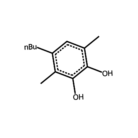 CCCCc1cc(C)c(O)c(O)c1C